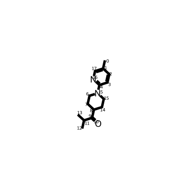 Cc1ccc(N2CCC(C(=O)C(C)C)CC2)nc1